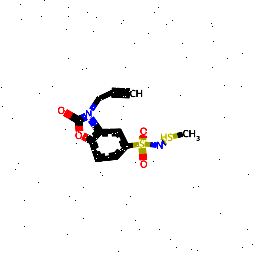 C#CCn1c(=O)oc2ccc(S(=O)(=O)N=[SH]C)cc21